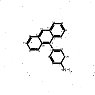 NC1C=CC(c2c3ccccc3cc3ccccc23)=CC1